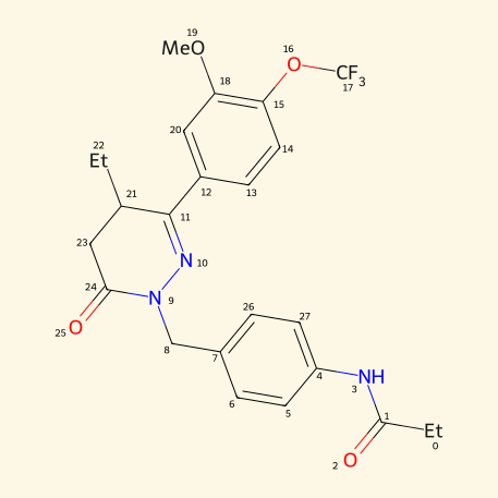 CCC(=O)Nc1ccc(CN2N=C(c3ccc(OC(F)(F)F)c(OC)c3)C(CC)CC2=O)cc1